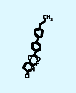 CCCc1ccc(-c2ccc(C(=O)Oc3ccc(Cl)nc3F)cc2)cc1